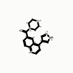 O=C(c1ccc2nccc(-c3cn[nH]c3)c2c1)N1CCOCC1